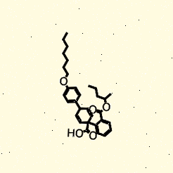 CCCCCCCOc1ccc(C2C=CC(C(=O)O)(c3ccccc3C(=O)OC(C)CCC)C=C2)cc1